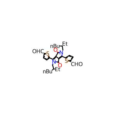 CCCCC(CC)CN1C(=O)C2=C(c3ccc(C=O)s3)N(CC(CC)CCCC)C(=O)C2=C1c1ccc(C=O)s1